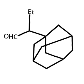 CCC(C=O)C12CC3CC(CC(C3)C1)C2